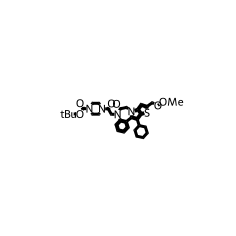 COOCc1cc2c(s1)c(C1CCCCC1)c1n2CC(=O)N(CC(=O)N2CCN(C(=O)OC(C)(C)C)CC2)c2ccccc2-1